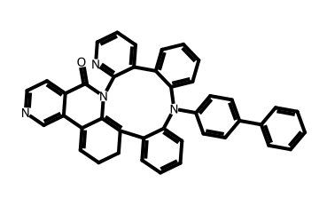 O=c1c2ccncc2c2c3n1-c1ncccc1-c1ccccc1N(c1ccc(-c4ccccc4)cc1)c1ccccc1C=3CCC=2